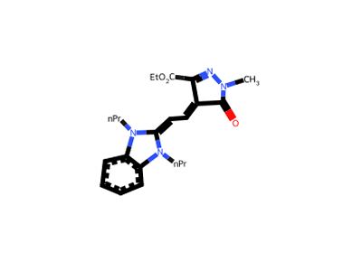 CCCN1C(=C/C=C2/C(=O)N(C)N=C2C(=O)OCC)N(CCC)c2ccccc21